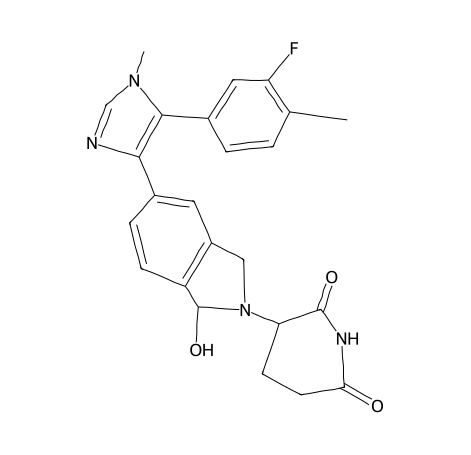 Cc1ccc(-c2c(-c3ccc4c(c3)CN(C3CCC(=O)NC3=O)C4O)ncn2C)cc1F